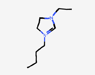 CCCC[N+]1=CN(CC)CC1